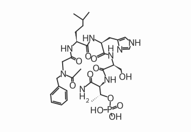 CC(=O)N(CC(=O)N[C@@H](CCC(C)C)C(=O)N[C@@H](Cc1c[nH]cn1)C(=O)N[C@@H](CO)C(=O)N[C@H](C(N)=O)[C@@H](C)OP(=O)(O)O)Cc1ccccc1